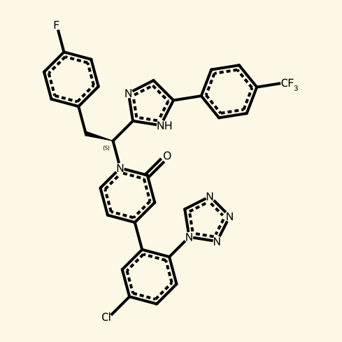 O=c1cc(-c2cc(Cl)ccc2-n2cnnn2)ccn1[C@@H](Cc1ccc(F)cc1)c1ncc(-c2ccc(C(F)(F)F)cc2)[nH]1